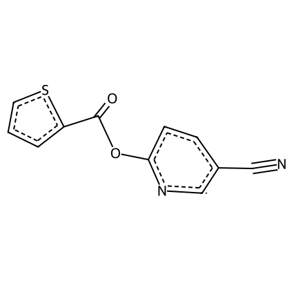 N#Cc1[c]nc(OC(=O)c2cccs2)cc1